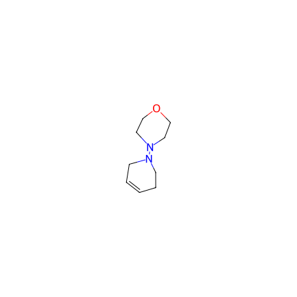 C1=CCN(N2CCOCC2)CC1